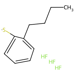 CCCCc1ccccc1[S].F.F.F